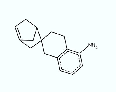 Nc1cccc2c1CCC1(CC3=CCC1C3)C2